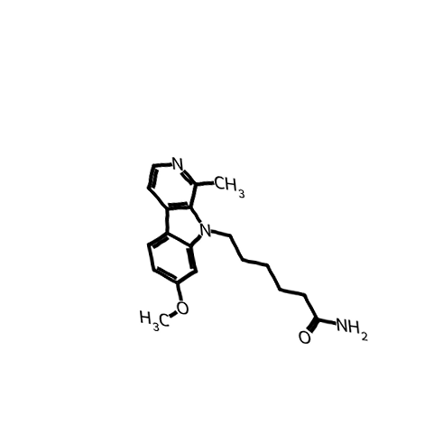 COc1ccc2c3ccnc(C)c3n(CCCCCC(N)=O)c2c1